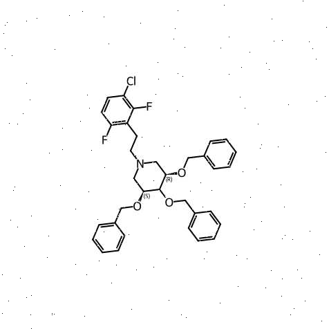 Fc1ccc(Cl)c(F)c1CCN1C[C@H](OCc2ccccc2)C(OCc2ccccc2)[C@H](OCc2ccccc2)C1